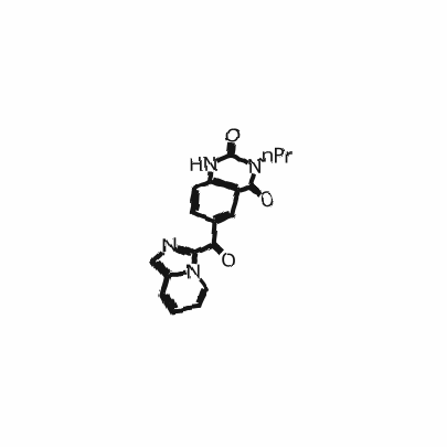 CCCn1c(=O)[nH]c2ccc(C(=O)c3ncc4ccccn34)cc2c1=O